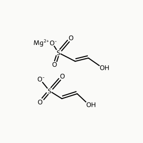 O=S(=O)([O-])C=CO.O=S(=O)([O-])C=CO.[Mg+2]